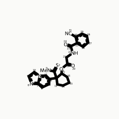 CNC(=S)C1(c2ccc3nccn3c2)CCCCC1OC(=O)CNC(=O)c1ccccc1C#N